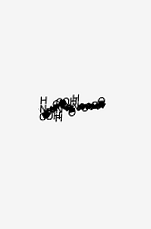 CN[C@H](CCC(=O)N[C@H](CCC(=O)NCCOCCOCC(C)=O)C(=O)O)C(=O)O